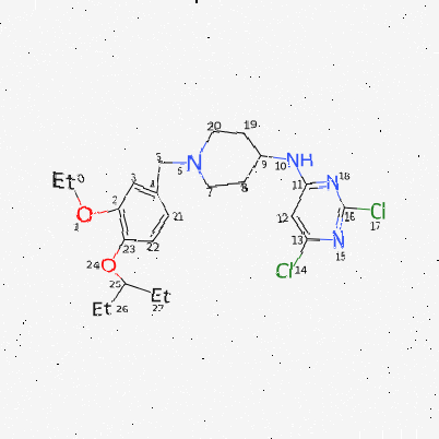 CCOc1cc(CN2CCC(Nc3cc(Cl)nc(Cl)n3)CC2)ccc1OC(CC)CC